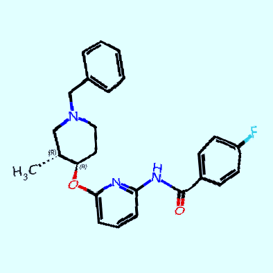 C[C@@H]1CN(Cc2ccccc2)CC[C@H]1Oc1cccc(NC(=O)c2ccc(F)cc2)n1